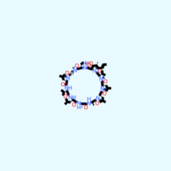 C/C=C/C[C@@H](C)[C@@H](O)[C@H]1C(=O)N[C@@H](CC)C(=O)N(C)CC(=O)N(C)[C@@H](CC(C)C)C(=O)N[C@@H](C(C)C)C(=O)N[C@@H](CC(C)C)C(=O)N[C@@H](C)C(=O)N[C@H](C)C(=O)N(C)[C@@H](CC(C)C)C(=O)N(C)[C@@H](CC(C)C)C(=O)N(C)[C@@H](C(C)C)C(=O)N1C